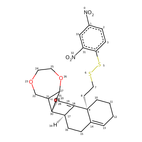 O=[N+]([O-])c1ccc(SSCC[C@]23CCCC=C2CC[C@@H]2C3=CC[C@]34COCCOC3CC[C@@H]24)c([N+](=O)[O-])c1